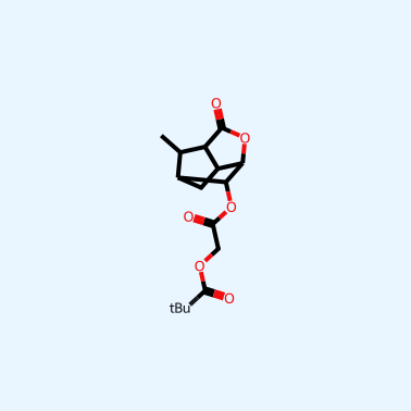 CC1C2CC3C(OC(=O)C13)C2OC(=O)COC(=O)C(C)(C)C